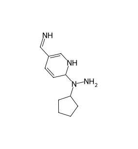 N=CC1=CNC(N(N)C2CCCC2)C=C1